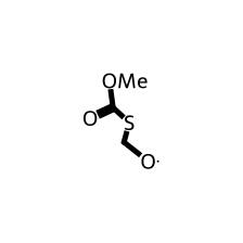 COC(=O)SC[O]